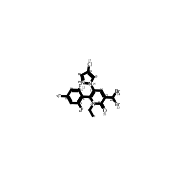 CCn1c(-c2c(F)cc(F)cc2F)c(-n2cc(Cl)cn2)cc(C(Br)Br)c1=O